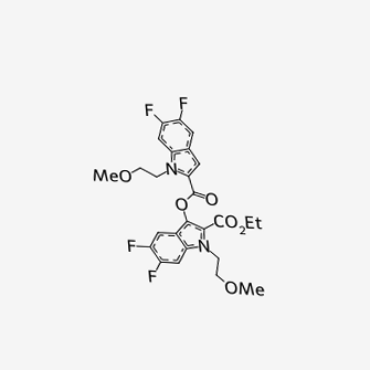 CCOC(=O)c1c(OC(=O)c2cc3cc(F)c(F)cc3n2CCOC)c2cc(F)c(F)cc2n1CCOC